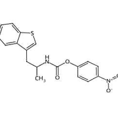 CC(Cc1csc2ccccc12)NC(=O)Oc1ccc([N+](=O)[O-])cc1